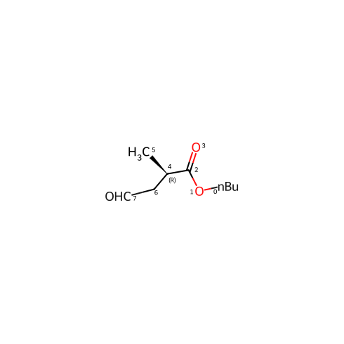 CCCCOC(=O)[C@H](C)CC=O